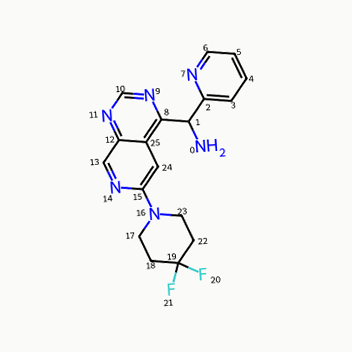 NC(c1ccccn1)c1ncnc2cnc(N3CCC(F)(F)CC3)cc12